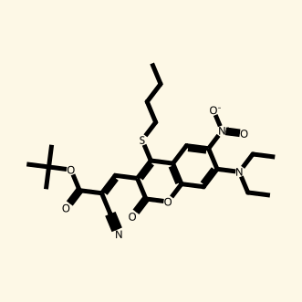 CCCCSc1c(/C=C(\C#N)C(=O)OC(C)(C)C)c(=O)oc2cc(N(CC)CC)c([N+](=O)[O-])cc12